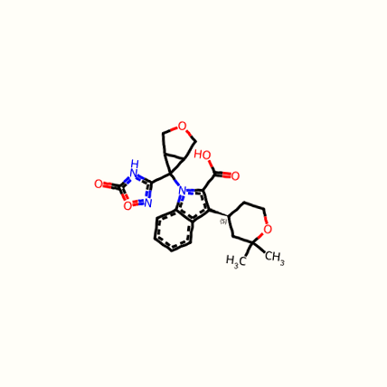 CC1(C)C[C@@H](c2c(C(=O)O)n(C3(c4noc(=O)[nH]4)C4COCC43)c3ccccc23)CCO1